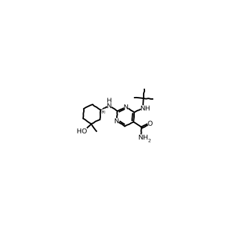 CC1(O)CCC[C@@H](Nc2ncc(C(N)=O)c(NC(C)(C)C)n2)C1